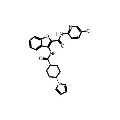 O=C(Nc1ccc(Cl)cn1)c1oc2ccccc2c1NC(=O)[C@H]1CC[C@H](n2cccc2)CC1